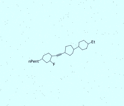 CCCCCC1CCC(C#CC2CCC(C3CCC(CC)CC3)CC2)C(F)C1